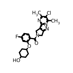 Cc1nc2c3c(nn2c(C)c1Cl)CN(C(=O)c1ccc(F)cc1OC1CCC(O)CC1)C3